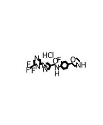 Cl.O=C(Nc1ccc(C2CNCCO2)cc1F)c1cnn(-c2cncc(C(F)(F)F)n2)c1